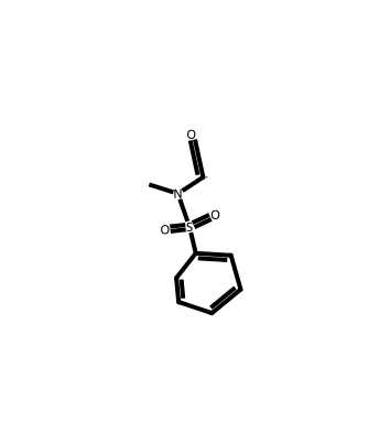 CN([C]=O)S(=O)(=O)c1ccccc1